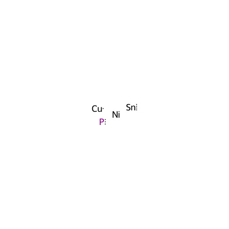 [Cu].[Ni].[P].[Sn]